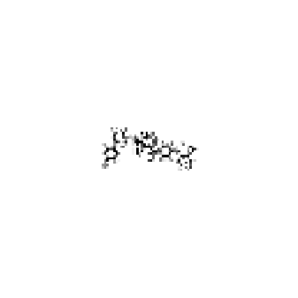 CO[C@H]1COCCC1N(C)C1CCN(C(=O)c2ncnc(NC[C@H]3CCC[C@@H](c4ccc(C)cc4)O3)c2C)CC1